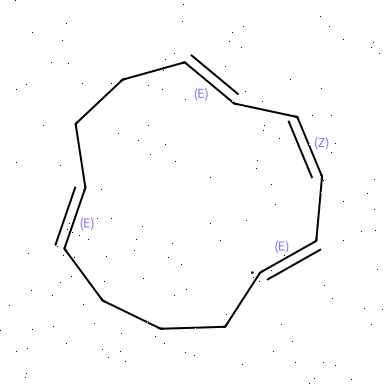 [C]1=C/C=C\C=C\CC/C=C/CCC/1